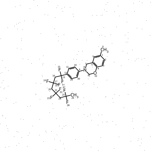 Cc1ccc2c(c1)CN(c1ccc(C(F)(F)CC(F)(F)CC(F)(F)CC(C)(F)F)cc1)CO2